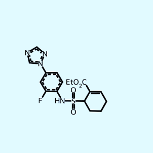 CCOC(=O)C1=CCCCC1S(=O)(=O)Nc1ccc(-n2cncn2)cc1F